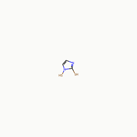 Sc1nccn1S